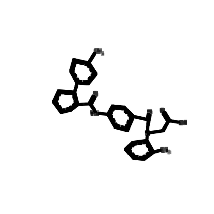 Cc1ccc(-c2ccccc2C(=O)Nc2ccc(C(=O)N(CC(=O)O)c3ccccc3C)cc2)cc1